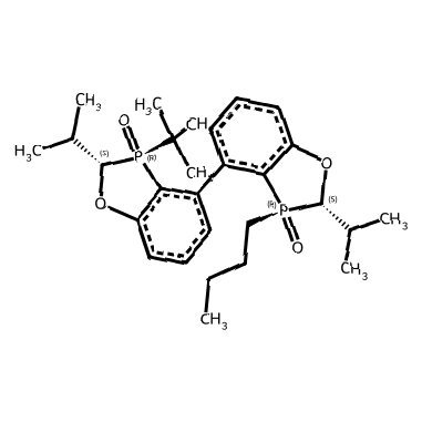 CCCC[P@@]1(=O)c2c(cccc2-c2cccc3c2[P@](=O)(C(C)(C)C)[C@@H](C(C)C)O3)O[C@@H]1C(C)C